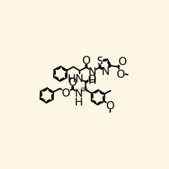 COC(=O)c1csc(NC(=O)C(Cc2ccccc2)NC(=O)[C@@H](NC(=O)OCc2ccccc2)c2ccc(OC)c(C)c2)n1